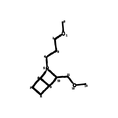 COCCCN1C2CCC2C1COC